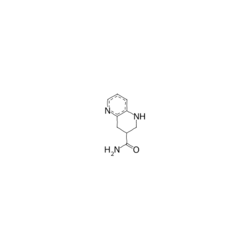 NC(=O)C1CNc2cccnc2C1